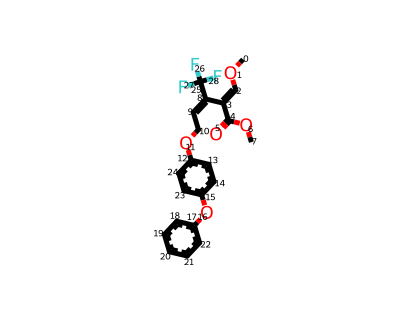 CO/C=C(C(=O)OC)\C(=C/COc1ccc(Oc2ccccc2)cc1)C(F)(F)F